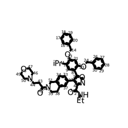 CCNC(=O)c1noc(-c2cc(C(C)C)c(OCc3ccccc3)cc2OCc2ccccc2)c1-c1ccc2c(c1)CCN(C(=O)CCN1CCOCC1)C2